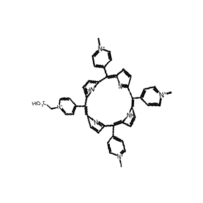 C[n+]1ccc(-c2c3nc(c(-c4cc[n+](C)cc4)c4ccc([nH]4)c(-c4cc[n+](CC(=O)O)cc4)c4nc(c(-c5cc[n+](C)cc5)c5ccc2[nH]5)C=C4)C=C3)cc1